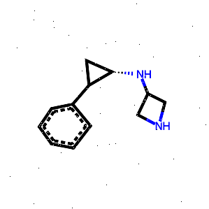 c1ccc(C2C[C@@H]2NC2CNC2)cc1